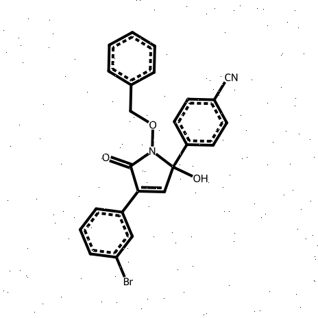 N#Cc1ccc(C2(O)C=C(c3cccc(Br)c3)C(=O)N2OCc2ccccc2)cc1